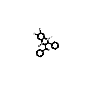 O=C(c1ccccc1)c1c(-c2ccccc2)[n+]([O-])c2cc(F)c(F)cc2[n+]1[O-]